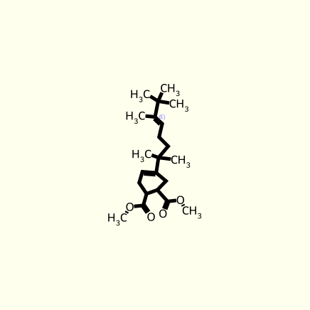 COC(=O)C1CC=C(C(C)(C)CC/C=C(\C)C(C)(C)C)CC1C(=O)OC